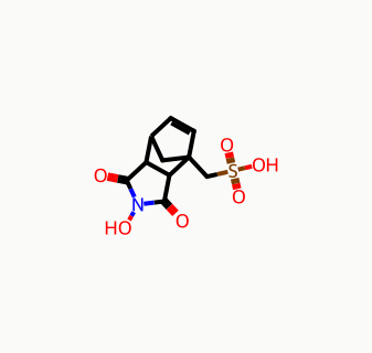 O=C1C2C3C=CC(CS(=O)(=O)O)(C3)C2C(=O)N1O